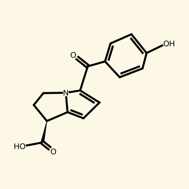 O=C(c1ccc(O)cc1)c1ccc2n1CC[C@@H]2C(=O)O